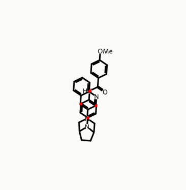 COc1ccc(C(=O)Nc2ccc(N3C4CCC3CN(c3cnc5ccccc5c3)C4)cc2)cc1